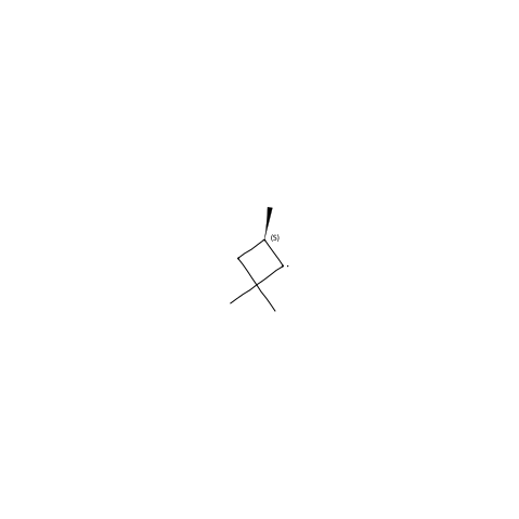 C[C@H]1[CH]C(C)(C)C1